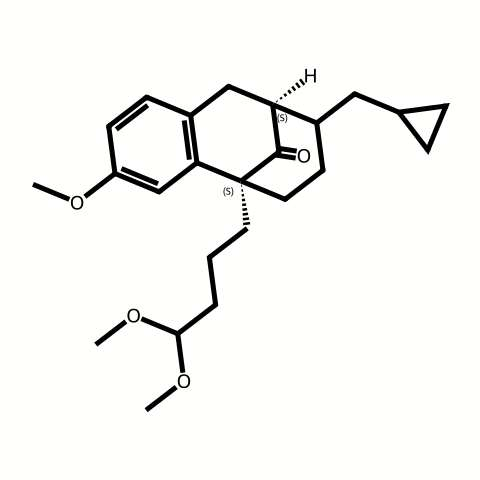 COc1ccc2c(c1)[C@]1(CCCC(OC)OC)CCC(CC3CC3)[C@H](C2)C1=O